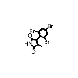 CC1=C(c2c(Br)cc(Br)cc2Br)C(=O)NC1=O